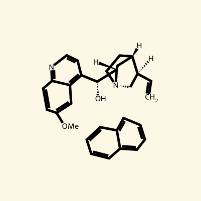 C=C[C@H]1C[N@]2CC[C@H]1C[C@H]2[C@H](O)c1ccnc2ccc(OC)cc12.c1ccc2ccccc2c1